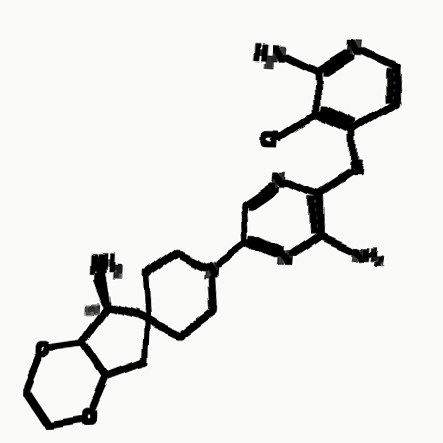 Nc1nc(N2CCC3(CC2)CC2OCCOC2[C@H]3N)cnc1Sc1ccnc(N)c1Cl